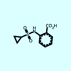 O=C(O)c1ccccc1NS(=O)(=O)C1CC1